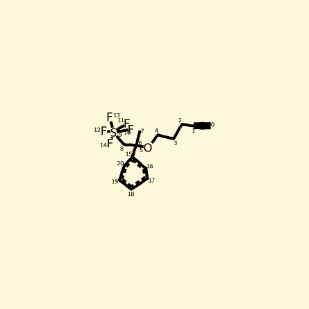 C#CCCCOC(C)(CS(F)(F)(F)(F)F)c1ccccc1